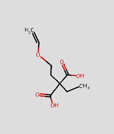 C=COCCC(CC)(C(=O)O)C(=O)O